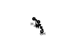 Cc1c(-c2cccc(OCc3ccccc3)c2)c2c(N)ncnc2n1[C@H]1C[C@H](CN2CCC(O)CC2)C1